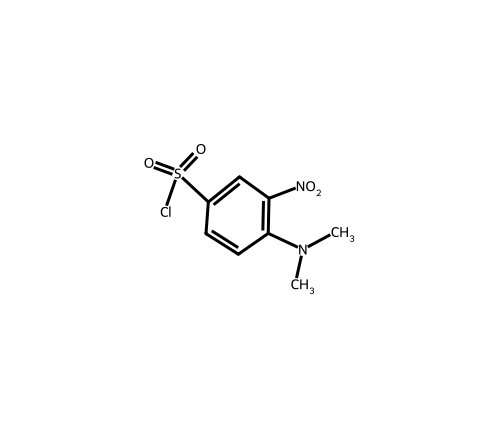 CN(C)c1ccc(S(=O)(=O)Cl)cc1[N+](=O)[O-]